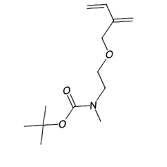 C=CC(=C)COCCN(C)C(=O)OC(C)(C)C